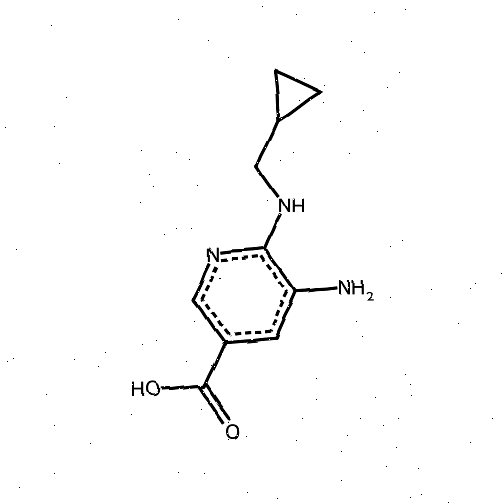 Nc1cc(C(=O)O)cnc1NCC1CC1